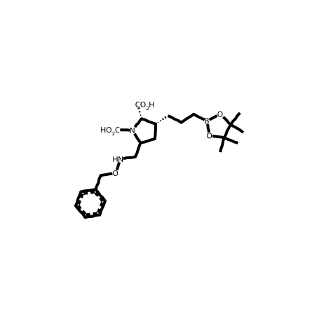 CC1(C)OB(CCC[C@@H]2CC(CNOCc3ccccc3)N(C(=O)O)[C@@H]2C(=O)O)OC1(C)C